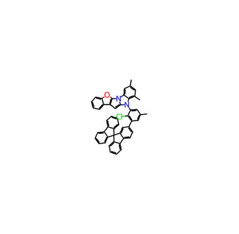 Cc1cc(-c2ccc3c(c2)C2(c4ccccc4-c4ccccc42)c2ccccc2-3)c(Cl)c(-n2c3c(C)cc(C)cc3n3c4oc5ccccc5c4cc23)c1